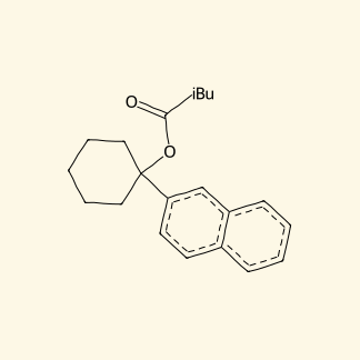 CCC(C)C(=O)OC1(c2ccc3ccccc3c2)CCCCC1